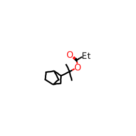 CCC(=O)OC(C)(C)C1CC2CCC1C2